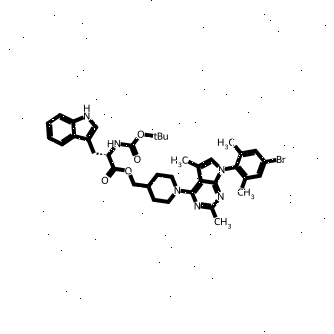 Cc1nc(N2CCC(COC(=O)[C@H](Cc3c[nH]c4ccccc34)NC(=O)OC(C)(C)C)CC2)c2c(C)cn(-c3c(C)cc(Br)cc3C)c2n1